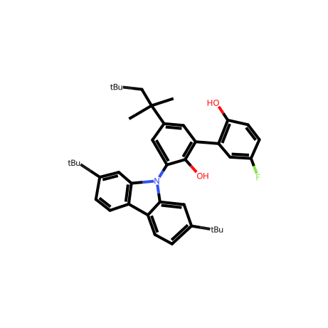 CC(C)(C)CC(C)(C)c1cc(-c2cc(F)ccc2O)c(O)c(-n2c3cc(C(C)(C)C)ccc3c3ccc(C(C)(C)C)cc32)c1